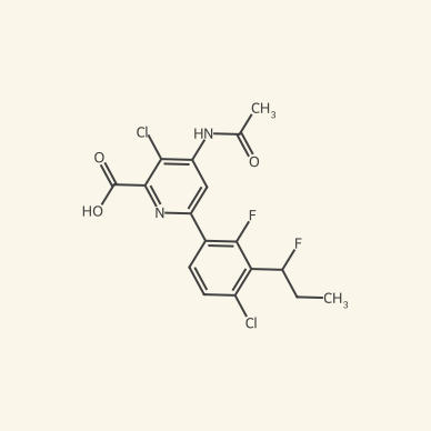 CCC(F)c1c(Cl)ccc(-c2cc(NC(C)=O)c(Cl)c(C(=O)O)n2)c1F